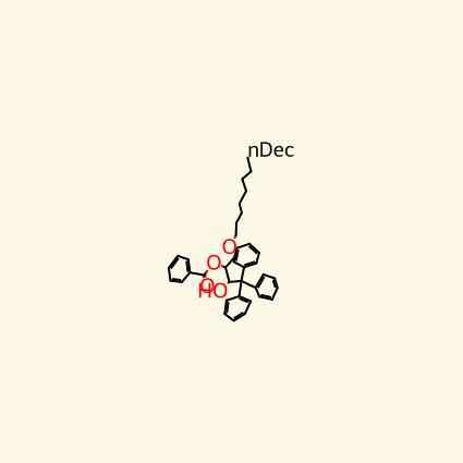 CCCCCCCCCCCCCCCCCCOCC(OC(=O)c1ccccc1)C(O)C(c1ccccc1)(c1ccccc1)c1ccccc1